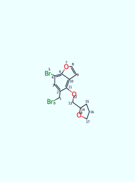 BrCc1cc(Br)c2occc2c1OCC1CCCO1